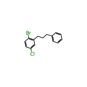 Clc1ccc(Br)c(CCCc2ccccc2)c1